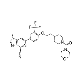 Cn1cnc2c(C#N)nc(-c3ccc(OCCC4CCN(C(=O)N5CCOCC5)CC4)c(C(F)(F)F)c3)cc21